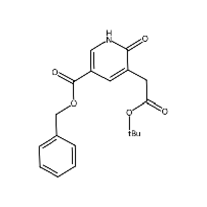 CC(C)(C)OC(=O)Cc1cc(C(=O)OCc2ccccc2)c[nH]c1=O